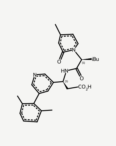 CCC(C)[C@@H](C(=O)N[C@@H](CC(=O)O)c1cncc(-c2c(C)cccc2C)c1)n1ccc(C)cc1=O